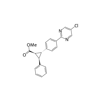 COC(=O)[C@@H]1[C@H](c2ccccc2)[C@H]1c1ccc(-c2ncc(Cl)cn2)cc1